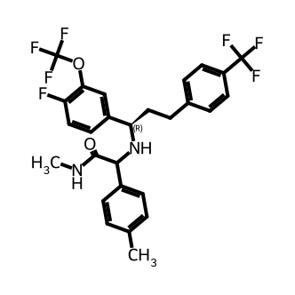 CNC(=O)C(N[C@H](CCc1ccc(C(F)(F)F)cc1)c1ccc(F)c(OC(F)(F)F)c1)c1ccc(C)cc1